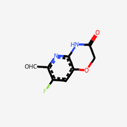 O=Cc1nc2c(cc1F)OCC(=O)N2